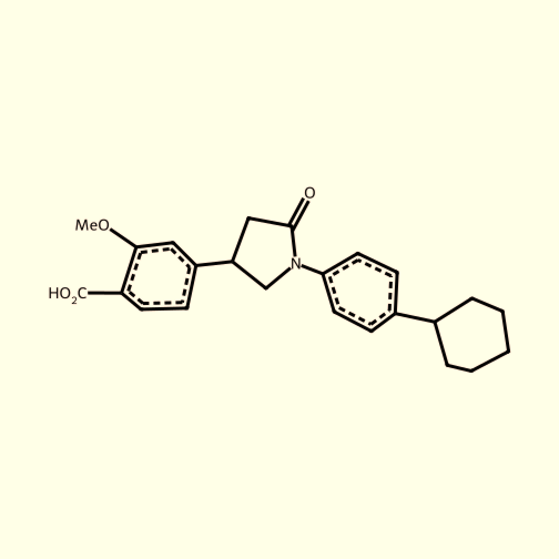 COc1cc(C2CC(=O)N(c3ccc(C4CCCCC4)cc3)C2)ccc1C(=O)O